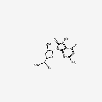 CCCn1c(=O)n([C@@H]2O[C@H](C(CC)OC(C)=O)C[C@H]2OC(C)=O)c2nc(N)nc(Cl)c21